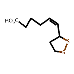 O=C(O)CCC/C=C\C1CCSS1